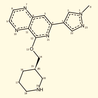 Cn1cc(-c2cc3nccnc3c(OC[C@@H]3CCCNC3)n2)cn1